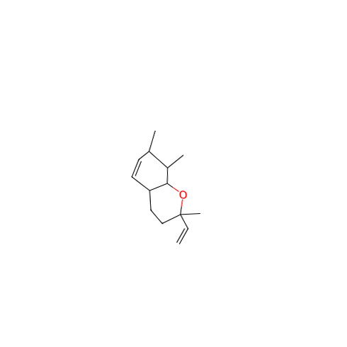 C=CC1(C)CCC2C=CC(C)C(C)C2O1